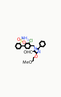 COCCOc1nc(-c2ccccc2)n(Cc2ccc(-c3ccccc3S(N)(=O)=O)cc2Cl)c1C=O